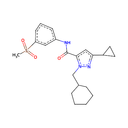 CS(=O)(=O)c1cccc(NC(=O)c2cc(C3CC3)nn2CC2CCCCC2)c1